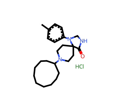 Cc1ccc(N2CNC(=O)C23CCN(C2CCCCCCCCC2)CC3)cc1.Cl